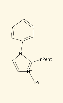 CCCCCc1n(-c2ccccc2)cc[n+]1C(C)C